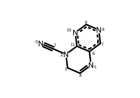 N#CN1CC=Nc2cncnc21